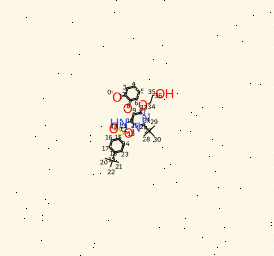 COc1ccccc1Oc1c(NS(=O)(=O)c2ccc(C(C)(C)C)cc2)nc(C(C)(C)C)nc1OCCO